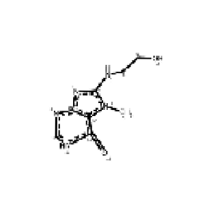 Cn1c(NCCO)nc2nc[nH]c(=O)c21